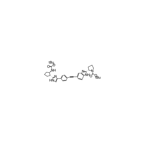 CC(C)(C)OC(=O)N[C@@H]1CCC[C@H]1c1nc(-c2ccc(C#Cc3ccc4[nH]c([C@@H]5CCCN5C(=O)OC(C)(C)C)nc4c3)cc2)c[nH]1